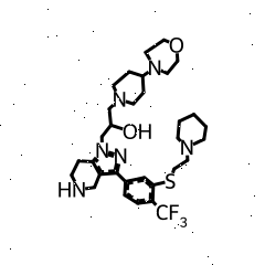 OC(CN1CCC(N2CCOCC2)CC1)Cn1nc(-c2ccc(C(F)(F)F)c(SCCN3CCCCC3)c2)c2c1CCNC2